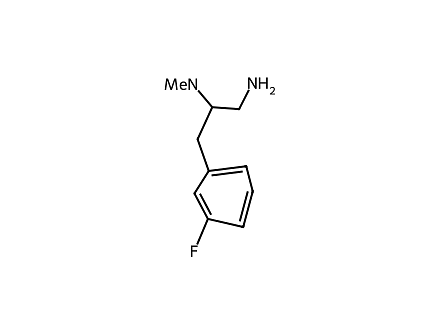 CNC(CN)Cc1cccc(F)c1